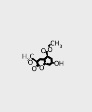 CCOC(=O)c1cc(O)cc2oc(=O)c(C(C)=O)cc12